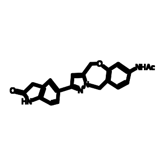 CC(=O)Nc1ccc2c(c1)OCc1cc(-c3ccc4c(c3)CC(=O)N4)nn1C2